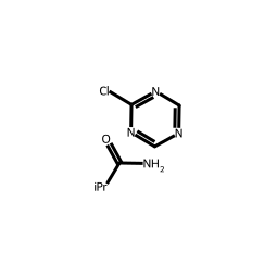 CC(C)C(N)=O.Clc1ncncn1